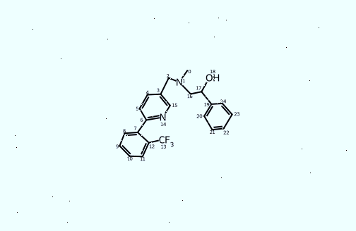 CN(Cc1ccc(-c2ccccc2C(F)(F)F)nc1)CC(O)c1ccccc1